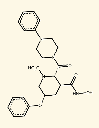 O=C(NO)[C@H]1C[C@H](Oc2ccncc2)CN(C(=O)O)[C@@H]1C(=O)N1CCN(c2ccccc2)CC1